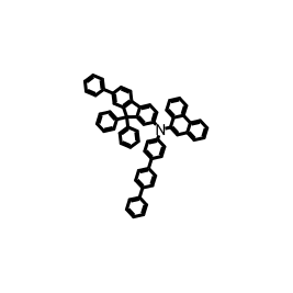 c1ccc(-c2ccc(-c3ccc(N(c4ccc5c(c4)C(c4ccccc4)(c4ccccc4)c4cc(-c6ccccc6)ccc4-5)c4cc5ccccc5c5ccccc45)cc3)cc2)cc1